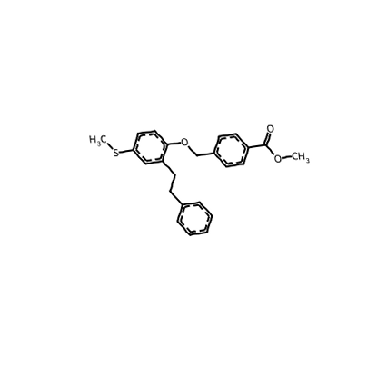 COC(=O)c1ccc(COc2ccc(SC)cc2CCc2ccccc2)cc1